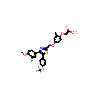 COc1ccc(-c2nc(COc3ccc(OCC(=O)O)c(C)c3)sc2-c2ccc(OC(F)(F)F)cc2)cc1F